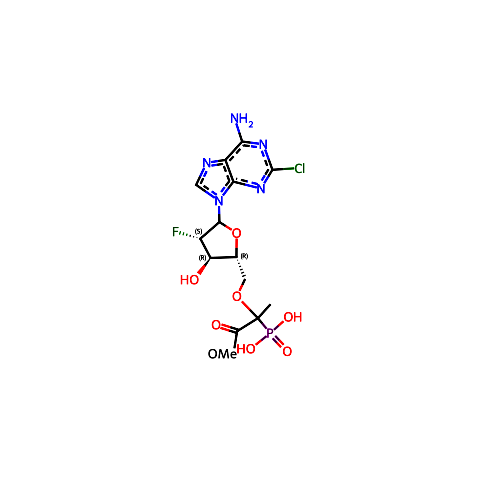 COC(=O)C(C)(OC[C@H]1OC(n2cnc3c(N)nc(Cl)nc32)[C@@H](F)[C@@H]1O)P(=O)(O)O